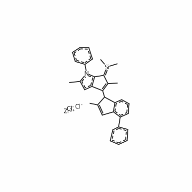 CC1=Cc2c(-c3ccccc3)cccc2C1C1=C(C)C(=[Si](C)C)c2c1cc(C)n2-c1ccccc1.[Cl-].[Cl-].[Zr+2]